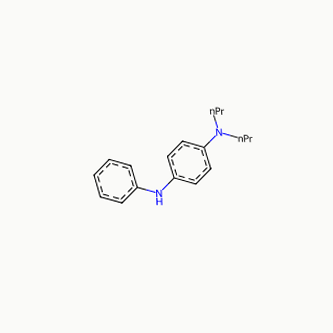 CCCN(CCC)c1ccc(Nc2ccccc2)cc1